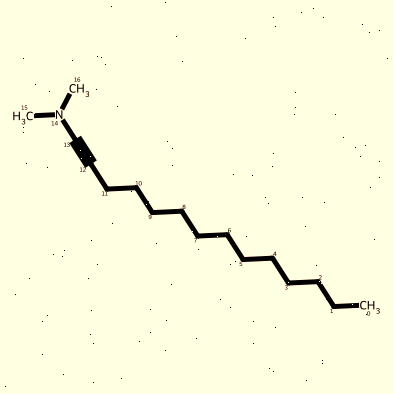 CCCCCCCCCCCCC#CN(C)C